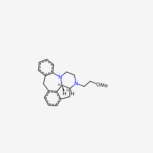 COCCN1CCN2c3ccccc3Cc3cccc4c3[C@H]2[C@@H]1C4